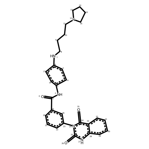 O=C(Nc1ccc(NCCCCN2CCCC2)cc1)c1cccc(-n2c(=O)[nH]c3ccccc3c2=O)c1